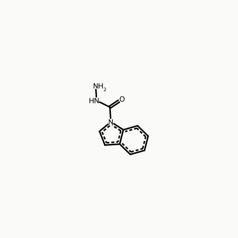 NNC(=O)n1ccc2ccccc21